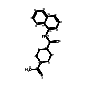 CC(=O)N1CCC(C(=O)Nc2cccc3cccnc23)CC1